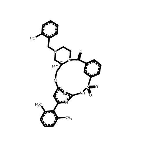 Cc1cccc(C)c1-c1cc2nc(n1)NS(=O)(=O)c1cccc(c1)C(=O)N1CCN(Cc3ccccc3O)C[C@@H]1CO2